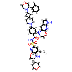 Cc1ccccc1[C@@H]1COCCN1C1CC2(CCN(c3ccc(C(=O)NS(=O)(=O)c4cc([N+](=O)[O-])c5c(n4)OC[C@@H](C4CCOCC4)N5)c(N4CCOc5nc6[nH]ccc6cc54)c3)CC2)C1